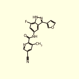 Cc1cc(C#N)cnc1C(=O)Nc1cc(F)c2[nH]nc(-c3ccoc3)c2c1